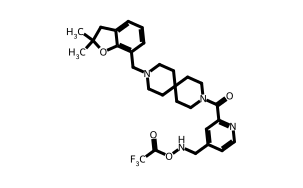 CC1(C)Cc2cccc(CN3CCC4(CC3)CCN(C(=O)c3cc(CNOC(=O)C(F)(F)F)ccn3)CC4)c2O1